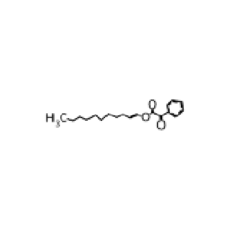 CCCCCCCCC/C=C/OC(=O)C(=O)c1ccccc1